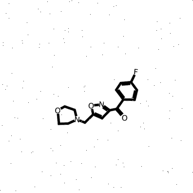 O=C(c1ccc(F)cc1)c1cc(CN2CCOCC2)on1